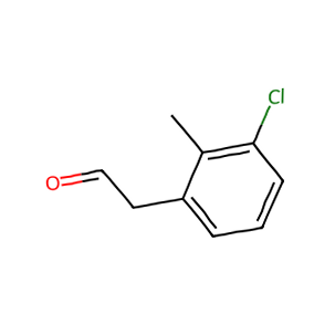 Cc1c(Cl)cccc1CC=O